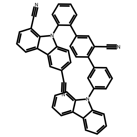 N#Cc1ccc2c(c1)c1cccc(C#N)c1n2-c1ccccc1-c1ccc(-c2cccc(-n3c4ccccc4c4ccccc43)c2)c(C#N)c1